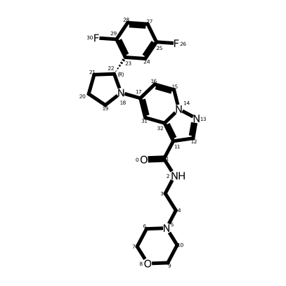 O=C(NCCN1CCOCC1)c1cnn2ccc(N3CCC[C@@H]3c3cc(F)ccc3F)cc12